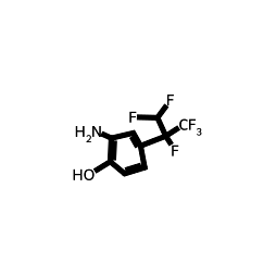 Nc1cc(C(F)(C(F)F)C(F)(F)F)ccc1O